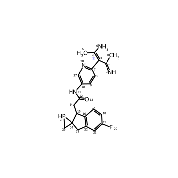 CC(=N)/C(=C(/C)N)c1ccc(NC(=O)CC2c3ccc(F)cc3CC23CP3)cn1